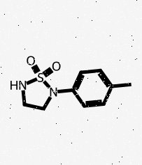 Cc1ccc(N2CCNS2(=O)=O)cc1